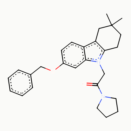 CC1(C)CCc2c(c3ccc(OCc4ccccc4)cc3n2CC(=O)N2CCCC2)C1